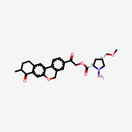 COC[C@H]1C[C@@H](C(=O)OCC(=O)c2ccc3c(c2)COc2cc4c(cc2-3)CCC(C)C4=O)N(P)C1